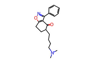 CN(C)CCCCC1CCc2onc(-c3ccccc3)c2C1=O